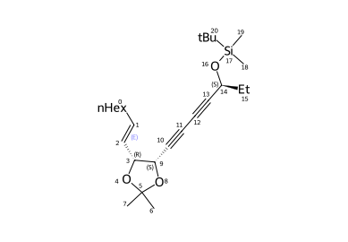 CCCCCC/C=C/[C@H]1OC(C)(C)O[C@H]1C#CC#C[C@H](CC)O[Si](C)(C)C(C)(C)C